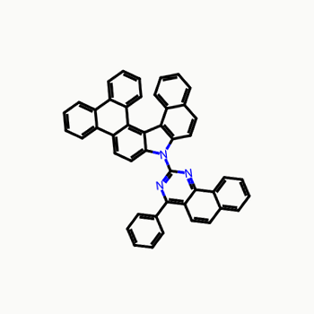 c1ccc(-c2nc(-n3c4ccc5ccccc5c4c4c5c6ccccc6c6ccccc6c5ccc43)nc3c2ccc2ccccc23)cc1